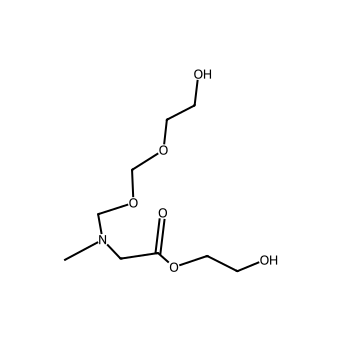 CN(COCOCCO)CC(=O)OCCO